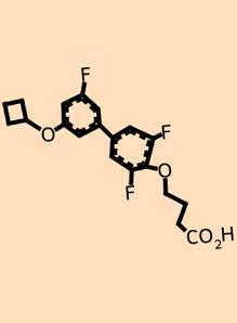 O=C(O)CCCOc1c(F)cc(-c2cc(F)cc(OC3CCC3)c2)cc1F